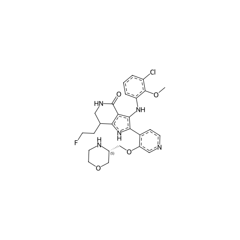 COc1c(Cl)cccc1Nc1c(-c2ccncc2OC[C@@H]2COCCN2)[nH]c2c1C(=O)NCC2CCF